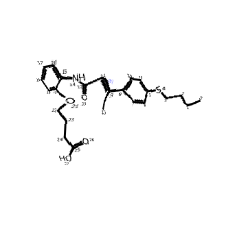 CCCCSc1ccc(/C(C)=C/C(=O)Nc2ccccc2OCCCC(=O)O)cc1